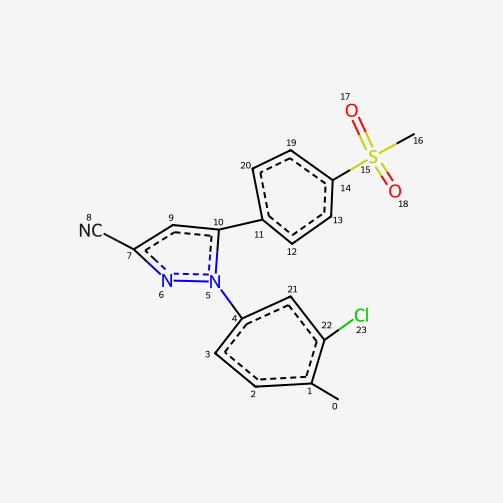 Cc1ccc(-n2nc(C#N)cc2-c2ccc(S(C)(=O)=O)cc2)cc1Cl